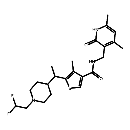 Cc1cc(C)c(CNC(=O)c2csc(C(C)C3CCN(CC(F)F)CC3)c2C)c(=O)[nH]1